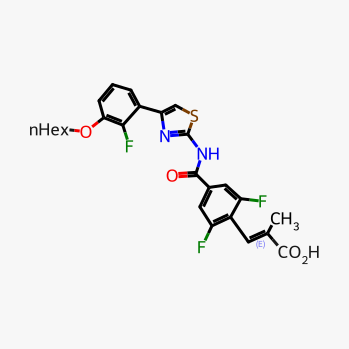 CCCCCCOc1cccc(-c2csc(NC(=O)c3cc(F)c(/C=C(\C)C(=O)O)c(F)c3)n2)c1F